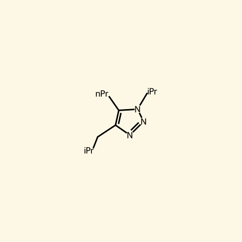 CCCc1c(CC(C)C)nnn1C(C)C